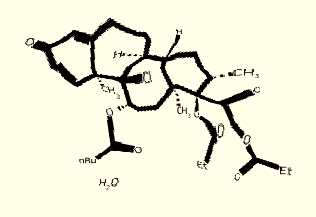 CCCCC(=O)O[C@H]1C[C@@]2(C)[C@@H](C[C@H](C)[C@]2(OC(=O)CC)C(=O)COC(=O)CC)[C@@H]2CCC3=CC(=O)C=C[C@]3(C)C12Cl.O